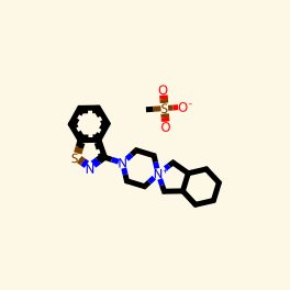 CS(=O)(=O)[O-].c1ccc2c(N3CC[N+]4(CC3)CC3CCCCC3C4)nsc2c1